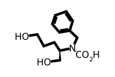 O=C(O)N(Cc1ccccc1)[C@@H](CO)CCCO